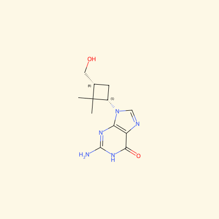 CC1(C)[C@H](CO)C[C@@H]1n1cnc2c(=O)[nH]c(N)nc21